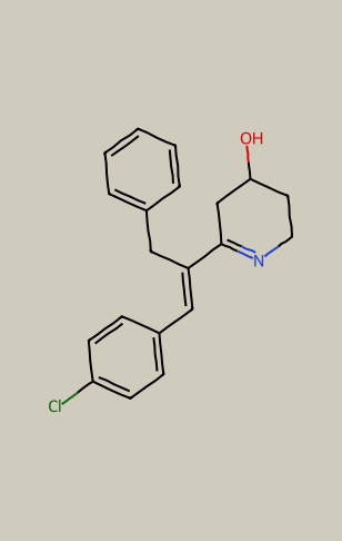 OC1CCN=C(C(=Cc2ccc(Cl)cc2)Cc2ccccc2)C1